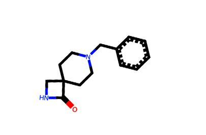 O=C1NCC12CCN(Cc1ccccc1)CC2